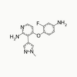 Cn1cc(-c2c(Oc3ccc(N)cc3F)ccnc2N)cn1